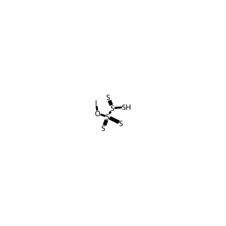 S=S(S)S(=S)(=S)OI